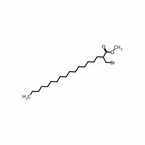 CCCCCCCCCCCCCCCCC(CBr)C(=O)OC